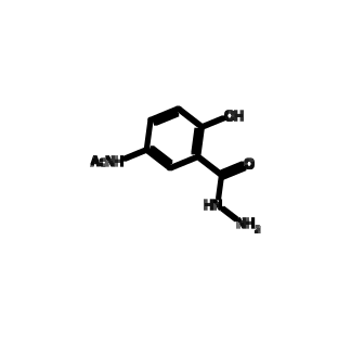 CC(=O)Nc1ccc(O)c(C(=O)NN)c1